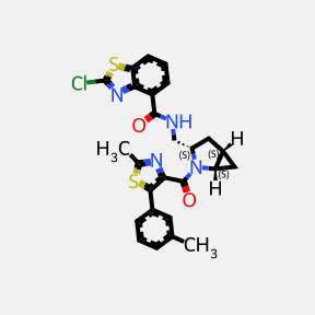 Cc1cccc(-c2sc(C)nc2C(=O)N2[C@H](CNC(=O)c3cccc4sc(Cl)nc34)C[C@@H]3C[C@@H]32)c1